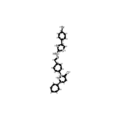 O=c1ccc(-c2ccccc2)nn1-c1ccc(C=NNc2nc(-c3ccc(Br)cc3)cs2)cc1